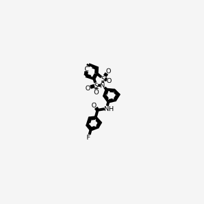 O=C(Nc1cccc(N2S(=O)(=O)c3ccccc3S2(=O)=O)c1)c1ccc(F)cc1